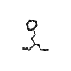 C=CCC(CCc1ccccc1)C(=O)OCC